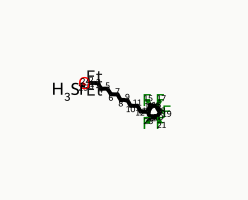 CCC(CC)(CCCCCCCCCCc1c(F)c(F)c(F)c(F)c1F)O[SiH3]